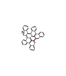 c1ccc(-c2c3ccccc3c(-c3ccccc3-c3cccc4ccccc34)c3c2cnc2ccccc23)c(-c2cccc3ccccc23)c1